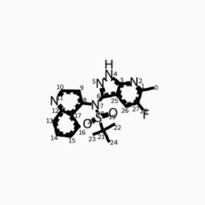 Cc1nc2[nH]nc(N(c3ccnc4ccccc34)S(=O)(=O)C(C)(C)C)c2cc1F